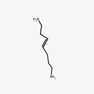 NCC/C=C/CCCN